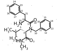 CNC(=O)[C@H](CC(C)C)N(Cc1ccccc1)C(=O)[C@@H](N)Cc1ccccc1